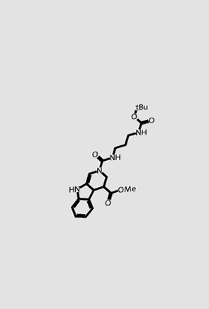 COC(=O)C1CN(C(=O)NCCCNC(=O)OC(C)(C)C)C=C2Nc3ccccc3C21